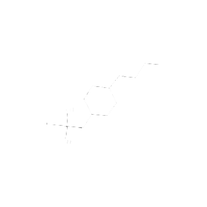 CC(C)(O)CC1CCC(CCCO)CC1